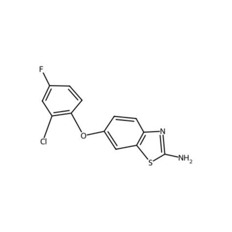 Nc1nc2ccc(Oc3ccc(F)cc3Cl)cc2s1